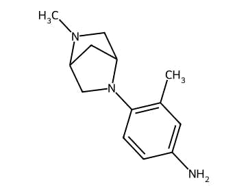 Cc1cc(N)ccc1N1CC2CC1CN2C